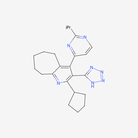 CC(C)c1nccc(-c2c3c(nc(C4CCCC4)c2-c2nnn[nH]2)CCCCC3)n1